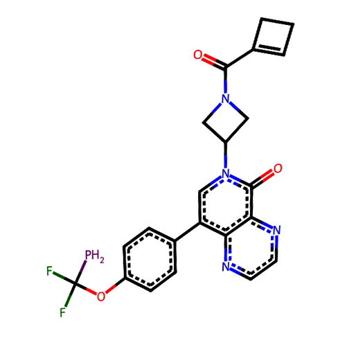 O=C(C1=CCC1)N1CC(n2cc(-c3ccc(OC(F)(F)P)cc3)c3nccnc3c2=O)C1